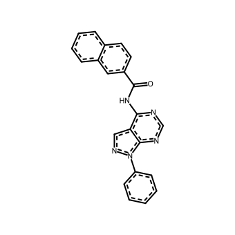 O=C(Nc1ncnc2c1cnn2-c1ccccc1)c1ccc2ccccc2c1